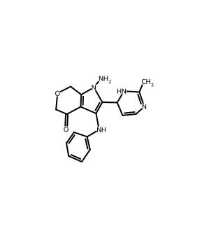 CC1=NC=CC(c2c(Nc3ccccc3)c3c(n2N)COCC3=O)N1